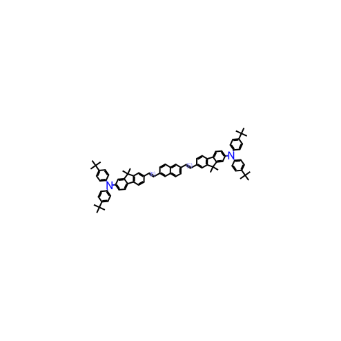 CC(C)(C)c1ccc(N(c2ccc(C(C)(C)C)cc2)c2ccc3c(c2)C(C)(C)c2cc(/C=C/c4ccc5cc(/C=C/c6ccc7c(c6)C(C)(C)c6cc(N(c8ccc(C(C)(C)C)cc8)c8ccc(C(C)(C)C)cc8)ccc6-7)ccc5c4)ccc2-3)cc1